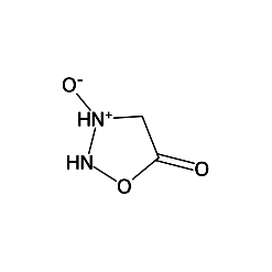 O=C1C[NH+]([O-])NO1